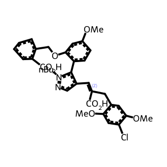 CCCCn1ncc(/C=C(/Cc2cc(OC)c(Cl)cc2OC)C(=O)O)c1-c1ccc(OC)cc1OCc1ccccc1C(=O)O